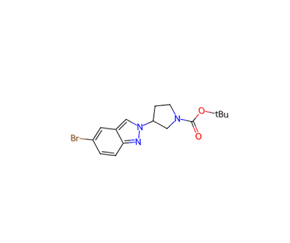 CC(C)(C)OC(=O)N1CCC(n2cc3cc(Br)ccc3n2)C1